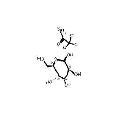 NC(=O)C(Cl)(Cl)Cl.OC[C@H]1OC(O)[C@@H](O)[C@@H](O)[C@@H]1O